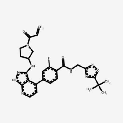 C=CC(=O)N1CCC(Nc2n[nH]c3nccc(-c4ccc(C(=O)NCc5noc(C(C)(C)C)n5)c(F)c4)c23)C1